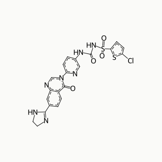 O=C(Nc1ccc(-n2cnc3cc(C4=NCCN4)ccc3c2=O)nc1)NS(=O)(=O)c1ccc(Cl)s1